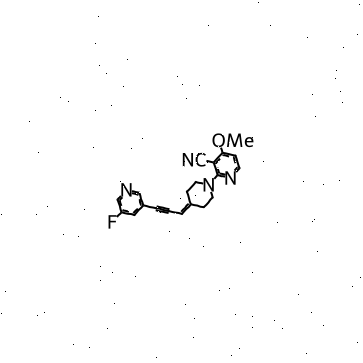 COc1ccnc(N2CCC(=CC#Cc3cncc(F)c3)CC2)c1C#N